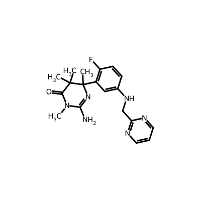 CN1C(=O)C(C)(C)C(C)(c2cc(NCc3ncccn3)ccc2F)N=C1N